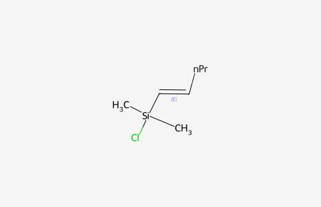 CCC/C=C/[Si](C)(C)Cl